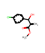 C=C(C(=O)OC)C(O)c1ccc(Cl)cc1